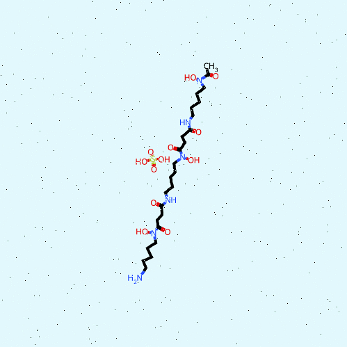 CC(=O)N(O)CCCCCNC(=O)CCC(=O)N(O)CCCCCNC(=O)CCC(=O)N(O)CCCCCN.O=S(=O)(O)O